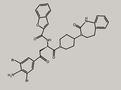 Nc1c(Br)cc(C(=O)C[C@@H](NC(=O)c2cc3ccccc3o2)C(=O)N2CCC(N3CCc4ccccc4NC3=O)CC2)cc1Br